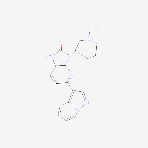 O=C(O)N1CCCC(n2c(=O)[nH]c3ccc(-c4cnn5ccccc45)nc32)C1